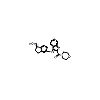 O=C(c1oc2cnccc2c1Nc1ccc2c(c1)CC/C2=N\O)N1CCOCC1